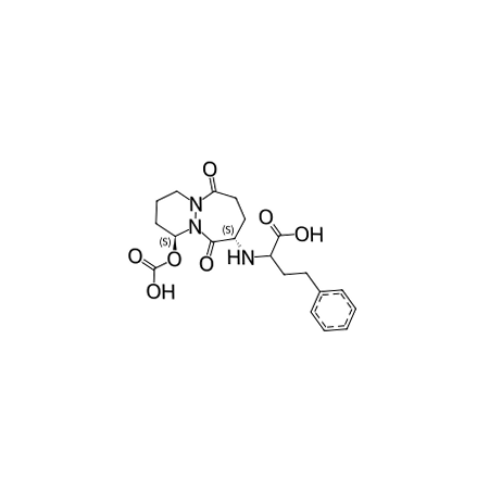 O=C(O)O[C@H]1CCCN2C(=O)CC[C@H](NC(CCc3ccccc3)C(=O)O)C(=O)N12